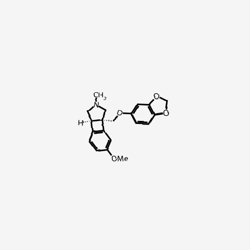 COc1ccc2c(c1)[C@]1(COc3ccc4c(c3)OCO4)CN(C)C[C@H]21